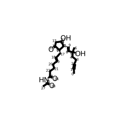 CC#CCCC(C)(O)C=C[C@H]1[C@H](O)CC(=O)[C@@H]1CC=CCCCC(=O)NC(C)=O